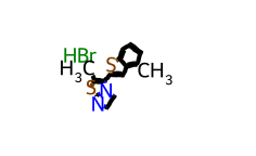 Br.CC1=C(c2cc3c(C)cccc3s2)N2CCN=C2S1